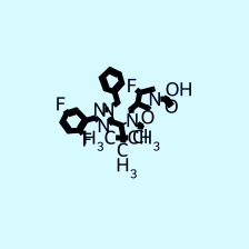 CC(C)(C)[C@H](c1nc(-c2cc(F)ccc2F)nn1Cc1ccccc1)N(CC1CN(C(=O)O)CC1F)C(=O)Cl